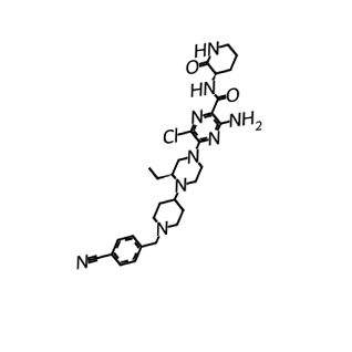 CC[C@H]1CN(c2nc(N)c(C(=O)N[C@@H]3CCCNC3=O)nc2Cl)CCN1C1CCN(Cc2ccc(C#N)cc2)CC1